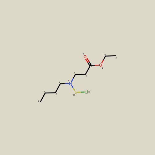 CCCCN(CCC(=O)OCC)SCl